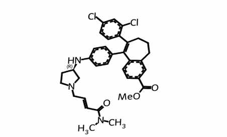 COC(=O)c1ccc2c(c1)CCCC(c1ccc(Cl)cc1Cl)=C2c1ccc(N[C@@H]2CCN(CC=CC(=O)N(C)C)C2)cc1